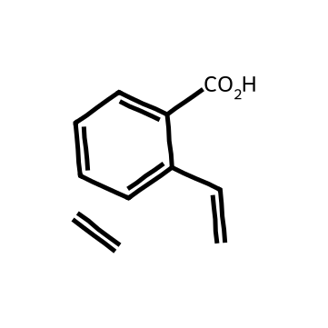 C=C.C=Cc1ccccc1C(=O)O